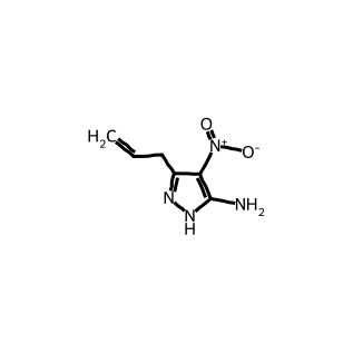 C=CCc1n[nH]c(N)c1[N+](=O)[O-]